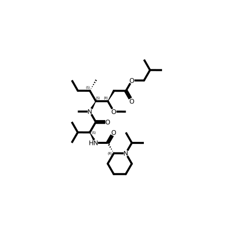 CC[C@H](C)[C@@H]([C@@H](CC(=O)OCC(C)C)OC)N(C)C(=O)[C@@H](NC(=O)[C@H]1CCCCN1C(C)C)C(C)C